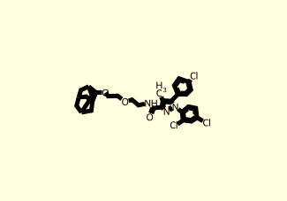 Cc1c(C(=O)NCCOCCOC2C3CC4CC(C3)CC2C4)nn(-c2ccc(Cl)cc2Cl)c1-c1ccc(Cl)cc1